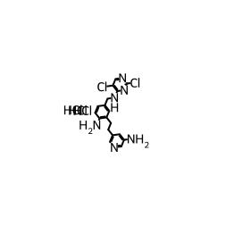 Cl.Cl.Cl.Nc1cncc(CCc2cc(CNc3nc(Cl)ncc3Cl)ccc2N)c1